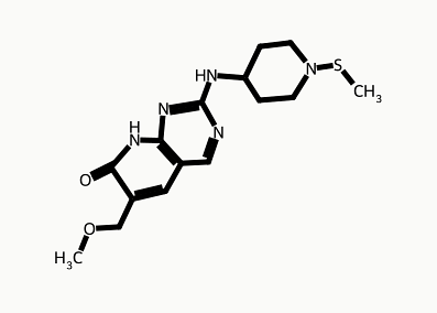 COCc1cc2cnc(NC3CCN(SC)CC3)nc2[nH]c1=O